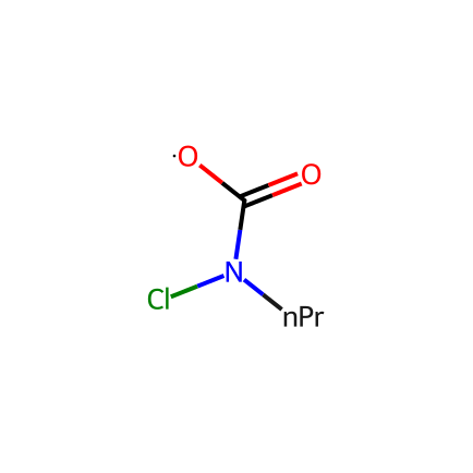 CCCN(Cl)C([O])=O